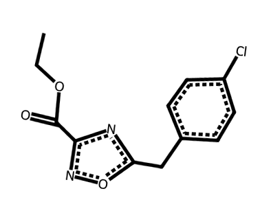 CCOC(=O)c1noc(Cc2ccc(Cl)cc2)n1